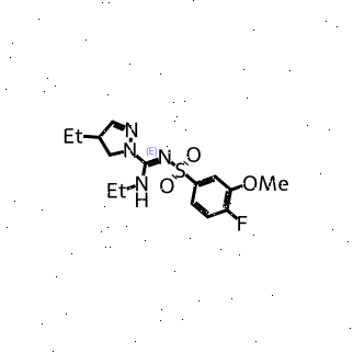 CCN/C(=N\S(=O)(=O)c1ccc(F)c(OC)c1)N1CC(CC)C=N1